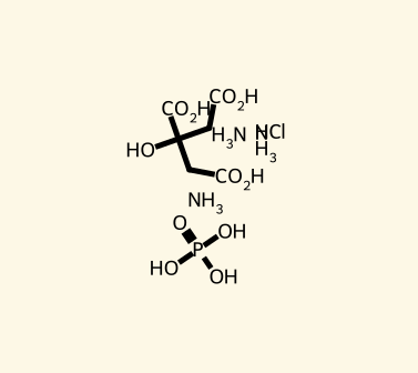 Cl.N.N.N.O=C(O)CC(O)(CC(=O)O)C(=O)O.O=P(O)(O)O